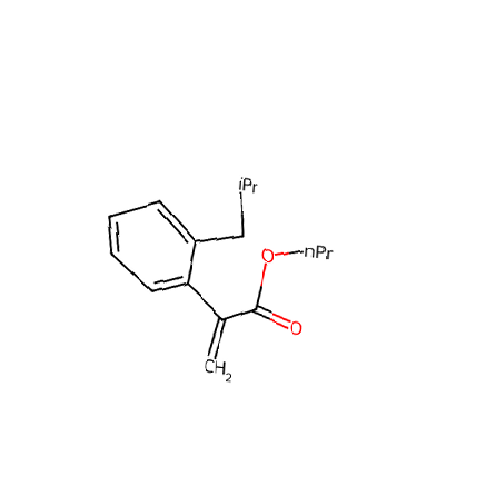 C=C(C(=O)OCCC)c1ccccc1CC(C)C